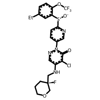 CCc1ccc(OC(F)(F)F)c([S+]([O-])c2ccc(-n3ncc(NC[C@@]4(F)CCCOC4)c(Cl)c3=O)cn2)c1